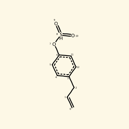 C=CCc1ccc(O[SH](=O)=O)cc1